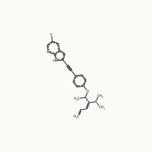 C=C/C=C(\C(C)Oc1ccc(C#Cc2cc3cc(F)cnc3[nH]2)cc1)N(C)C